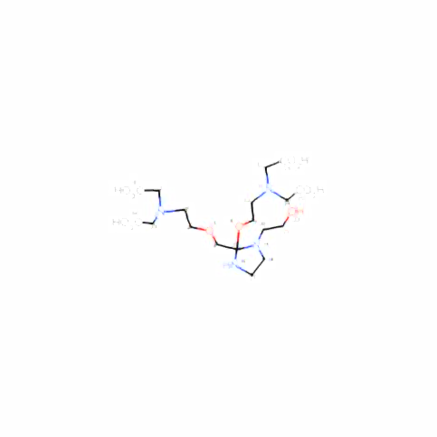 O=C(O)CN(CCOCC1(OCCN(CC(=O)O)CC(=O)O)NCCN1CCO)CC(=O)O